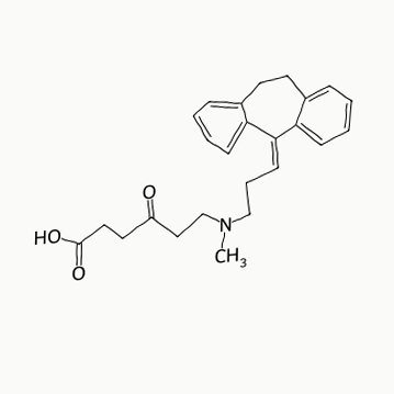 CN(CCC=C1c2ccccc2CCc2ccccc21)CCC(=O)CCC(=O)O